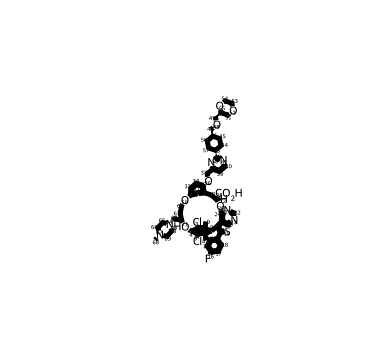 Cc1c(Cl)c2c(Cl)c(C)c1-c1c(-c3ccc(F)cc3)sc3ncnc(c13)O[C@@H](C(=O)O)Cc1cc(ccc1OCc1ccnc([C@H]3CC[C@H](COC[C@@H]4COCCO4)CC3)n1)OCC[C@@H](CN1CCN(C)CC1)O2